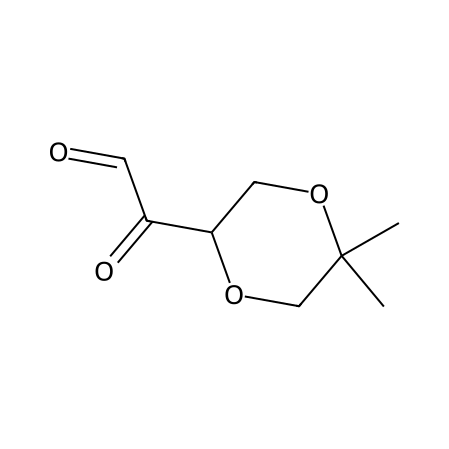 CC1(C)COC(C(=O)C=O)CO1